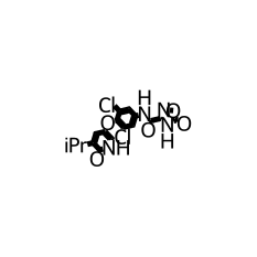 CC(C)c1cc(Oc2c(Cl)cc(NC(=O)c3noc(=O)[nH]3)cc2Cl)c[nH]c1=O